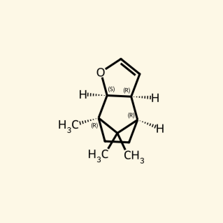 CC1(C)[C@@H]2CC[C@@]1(C)[C@H]1OC=C[C@@H]21